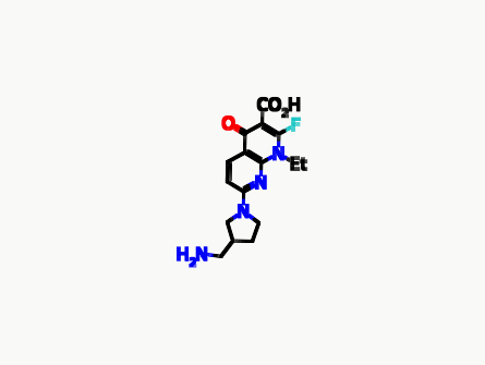 CCn1c(F)c(C(=O)O)c(=O)c2ccc(N3CCC(CN)C3)nc21